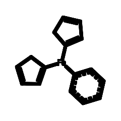 C1=CC[C]([Fe]([C]2=CC=CC2)[c]2ccccc2)=C1